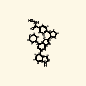 O=C(NO)c1cnc(N2CCCC2c2cc3nc(-c4cccc5[nH]ncc45)nc(N4CCOCC4)c3s2)nc1